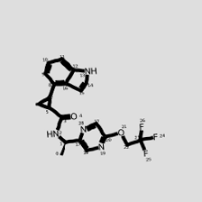 C[C@@H](NC(=O)C1CC1c1cccc2[nH]ccc12)c1cnc(OCC(F)(F)F)cn1